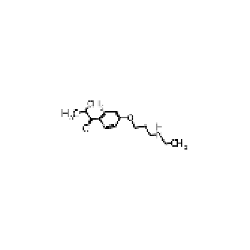 CCNCCCOc1ccc(C(=O)C(C)C)cc1